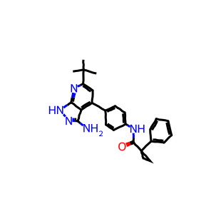 CC(C)(C)c1cc(-c2ccc(NC(=O)C3(c4ccccc4)CC3)cc2)c2c(N)n[nH]c2n1